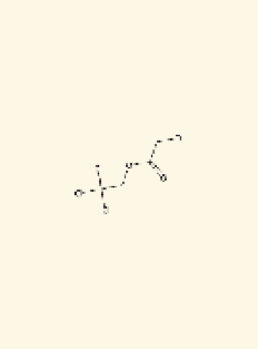 [O]CC(=O)OCC(Cl)(Cl)Cl